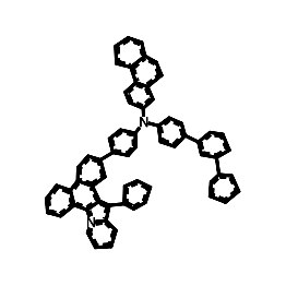 c1ccc(-c2cccc(-c3ccc(N(c4ccc(-c5ccc6c7ccccc7c7c(c(-c8ccccc8)c8ccccn87)c6c5)cc4)c4ccc5c(ccc6ccccc65)c4)cc3)c2)cc1